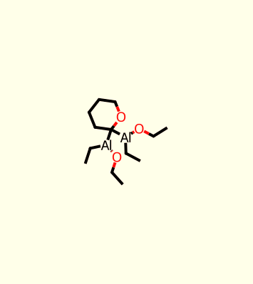 CC[O][Al]([CH2]C)[C]1([Al]([CH2]C)[O]CC)CCCCO1